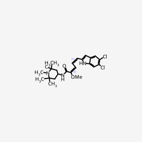 CO/C(=C/C=C\c1cc2cc(Cl)c(Cl)cc2[nH]1)C(=O)NC1CC(C)(C)N(C)C(C)(C)C1